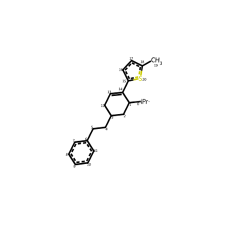 C[C](C)C1CC(CCc2ccccc2)CC=C1c1ccc(C)s1